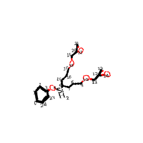 c1ccc(O[SiH2]C(CCCOCC2CO2)CCCOCC2CO2)cc1